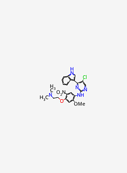 COc1cc(OCCN(C)C)c([N+](=O)[O-])cc1Nc1ncc(Cl)c(-c2c[nH]c3ccccc23)n1